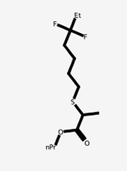 CCCOC(=O)C(C)SCCCCC(F)(F)CC